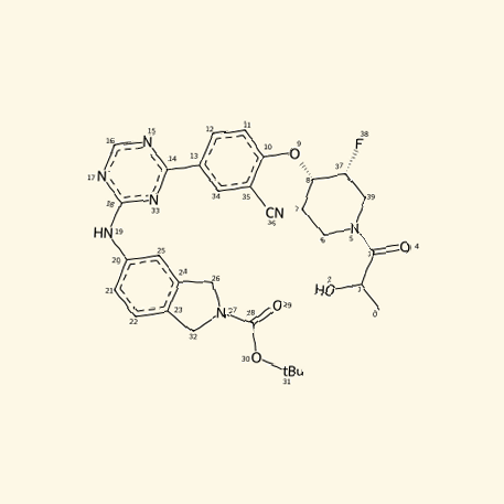 CC(O)C(=O)N1CC[C@H](Oc2ccc(-c3ncnc(Nc4ccc5c(c4)CN(C(=O)OC(C)(C)C)C5)n3)cc2C#N)[C@H](F)C1